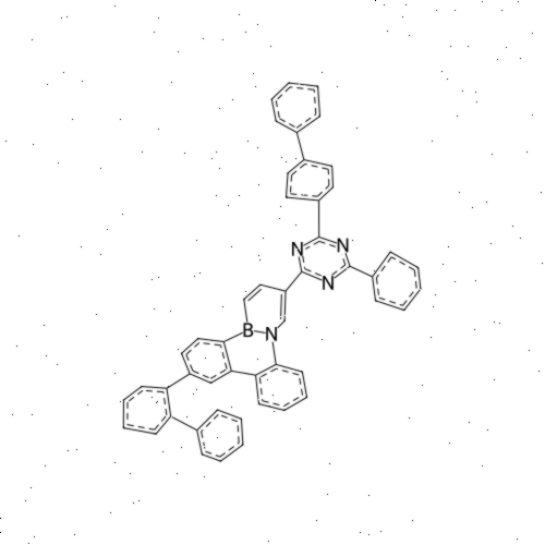 C1=CC(c2nc(-c3ccccc3)nc(-c3ccc(-c4ccccc4)cc3)n2)=CN2B1c1ccc(-c3ccccc3-c3ccccc3)cc1-c1ccccc12